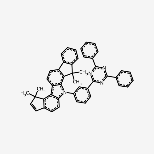 CC1(C)C=Cc2ccc3c(c21)c1ccc2c(c1n3-c1cccc(-c3nc(-c4ccccc4)nc(-c4ccccc4)n3)c1)C(C)(C)c1ccccc1-2